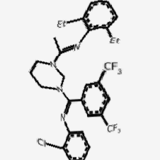 CCc1cccc(CC)c1/N=C(\C)N1CCCN(/C(=N/c2ccccc2Cl)c2cc(C(F)(F)F)cc(C(F)(F)F)c2)C1